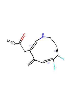 C=C1/C=C(F)\C(F)=C/CN/C=C\1CC(=O)OC